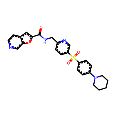 O=C(NCc1ccc(S(=O)(=O)c2ccc(N3CCCCC3)cc2)cn1)c1cc2ccncc2o1